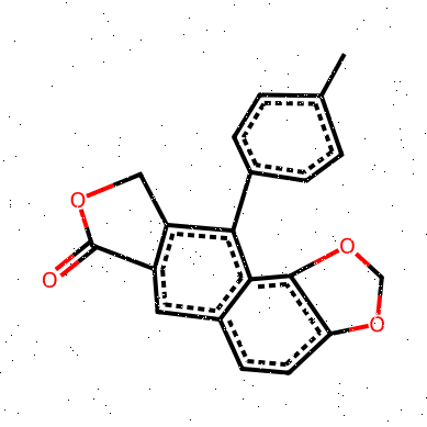 Cc1ccc(-c2c3c(cc4ccc5c(c24)OCO5)C(=O)OC3)cc1